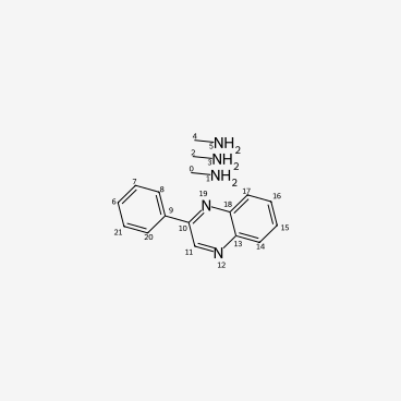 CN.CN.CN.c1ccc(-c2cnc3ccccc3n2)cc1